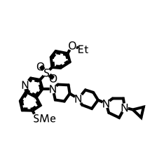 CCOc1ccc(S(=O)(=O)c2cnc3ccc(SC)cc3c2N2CCC(N3CCC(N4CCN(C5CC5)CC4)CC3)CC2)cc1